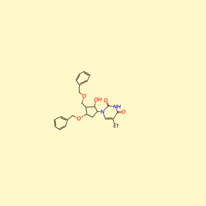 CCc1cn(C2CC(OCc3ccccc3)C(COCc3ccccc3)C2O)c(=O)[nH]c1=O